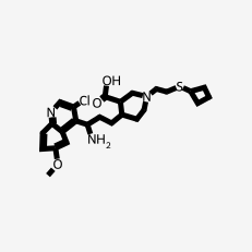 COc1ccc2ncc(Cl)c(C(N)CCC3CCN(CCSC4CCC4)CC3C(=O)O)c2c1